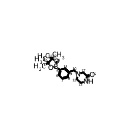 CC1(C)OB(c2cccc(CN3CCNC(=O)C3)c2)OC1(C)C